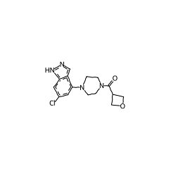 O=C(C1COC1)N1CCN(c2cc(Cl)cc3[nH]ncc23)CC1